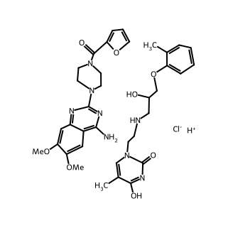 COc1cc2nc(N3CCN(C(=O)c4ccco4)CC3)nc(N)c2cc1OC.Cc1ccccc1OCC(O)CNCCn1cc(C)c(O)nc1=O.[Cl-].[H+]